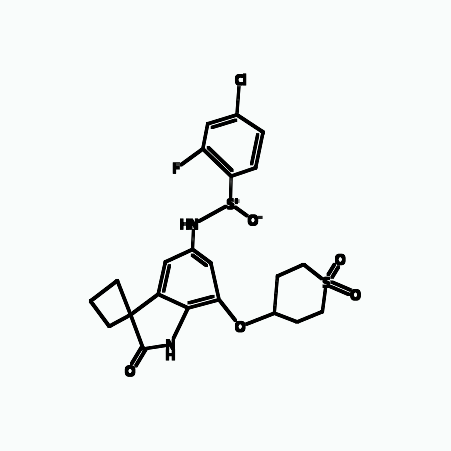 O=C1Nc2c(OC3CCS(=O)(=O)CC3)cc(N[S+]([O-])c3ccc(Cl)cc3F)cc2C12CCC2